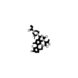 C=CC(=O)N1CCN(c2nc(=O)n(-c3c(C)noc3C(C)C)c3c4c(c(C)cc23)-c2c(ccc(F)c2F)CO4)[C@@H](C)C1